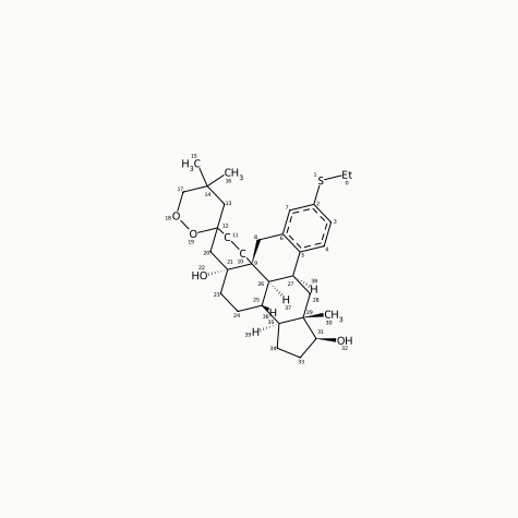 CCSc1ccc2c(c1)C[C@]13CCC4(CC(C)(C)COO4)C[C@]1(O)CC[C@@H]1[C@@H]3[C@@H]2C[C@]2(C)[C@@H](O)CC[C@@H]12